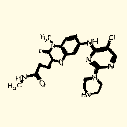 CNC(=O)CCC1Oc2cc(Nc3nc(N4CCNCC4)ncc3Cl)ccc2N(C)C1=O